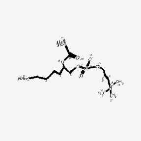 CCCCCCCCCCCCCCC(COP(=O)([O-])OCC[N+](C)(C)C)OC(=O)NC